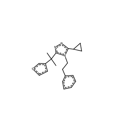 CC(C)(c1ccsc1)c1nnc(C2CC2)n1CCc1ccccc1